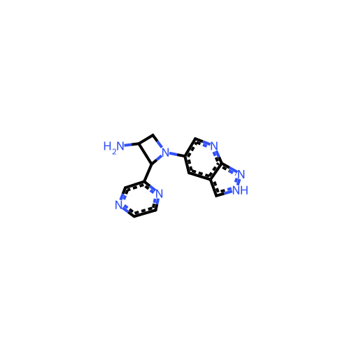 NC1CN(c2cnc3n[nH]cc3c2)C1c1cnccn1